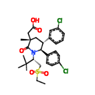 CCS(=O)(=O)C[C@@H](N1C(=O)[C@](C)(CC(=O)O)C[C@H](c2cccc(Cl)c2)[C@H]1c1ccc(Cl)cc1)C(C)(C)C